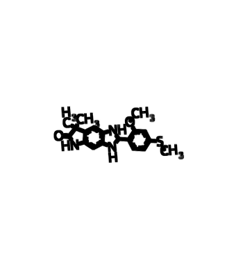 COc1cc(SC)ccc1C1Nc2cc3c(cc2N1)C(C)(C)C(=O)N3